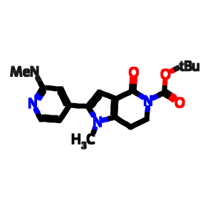 CNc1cc(-c2cc3c(n2C)CCN(C(=O)OC(C)(C)C)C3=O)ccn1